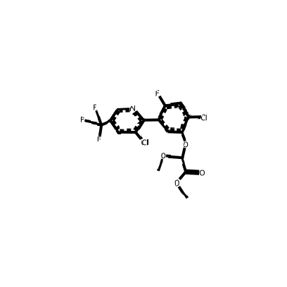 COC(=O)C(OC)Oc1cc(-c2ncc(C(F)(F)F)cc2Cl)c(F)cc1Cl